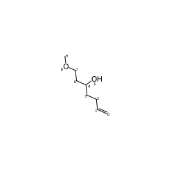 C=CCCC(O)CCOC